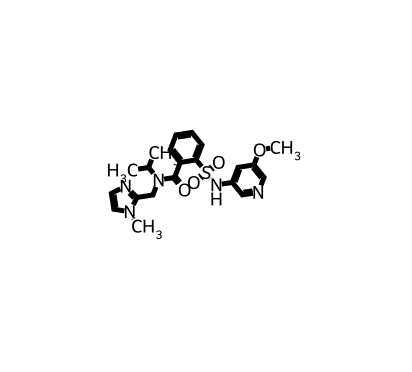 COc1cncc(NS(=O)(=O)c2ccccc2C(=O)N(Cc2nccn2C)C(C)C)c1